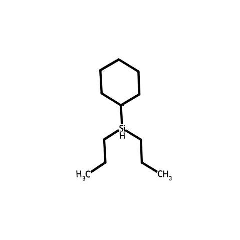 CCC[SiH](CCC)[C]1CCCCC1